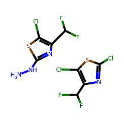 FC(F)c1nc(Cl)sc1Cl.NNc1nc(C(F)F)c(Cl)s1